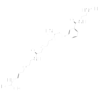 CNCCNC(=O)c1cccc(OCC(N)OCCOCC(=O)NCCOC/C=C/BC(C)C)c1